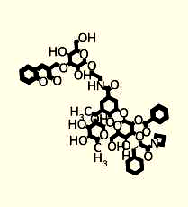 CCC1CC(C(=O)NCCO[C@H]2OC(CO)[C@@H](O)C(OCc3cc4ccccc4oc3=O)C2O)C[C@@H](O[C@@H]2OC(CO)[C@H](O)C(O[C@@H](CC3CCCCC3)C(=O)N3CCC3)C2OC(=O)c2ccccc2)C1O[C@@H]1OC(C)[C@@H](O)C(O)C1O